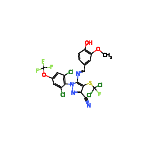 COc1cc(C=Nc2c(SC(F)(Cl)Cl)c(C#N)nn2-c2c(Cl)cc(OC(F)(F)F)cc2Cl)ccc1O